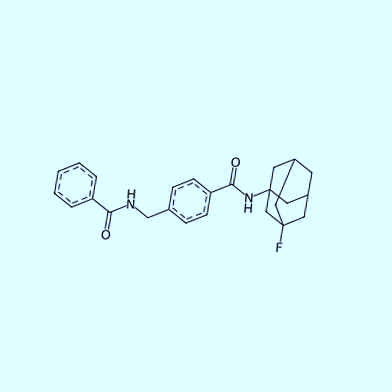 O=C(NCc1ccc(C(=O)NC23CC4CC(CC(F)(C4)C2)C3)cc1)c1ccccc1